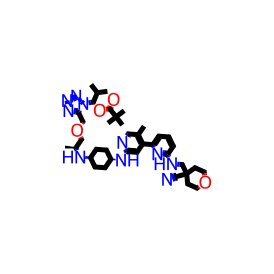 Cc1cnc(N[C@H]2CC[C@H](N[C@@H](C)COCc3nnnn3[C@H](OC(=O)C(C)(C)C)C(C)C)CC2)cc1-c1cccc(NCC2(C#N)CCOCC2)n1